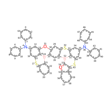 c1ccc(N(c2ccccc2)c2cc3c4c(c2)Sc2ccccc2B4c2cc4c(cc2O3)Sc2cc(N(c3ccccc3)c3ccccc3)cc3c2B4c2oc4ccccc4c2S3)cc1